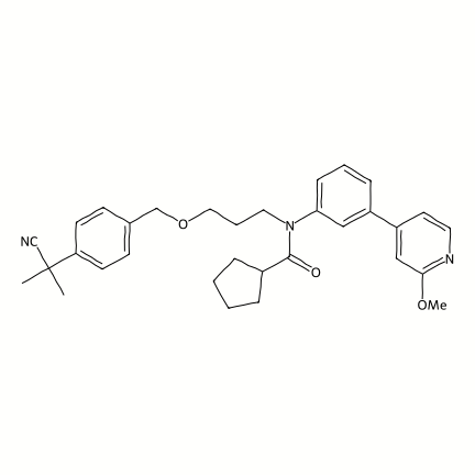 COc1cc(-c2cccc(N(CCCOCc3ccc(C(C)(C)C#N)cc3)C(=O)C3CCCC3)c2)ccn1